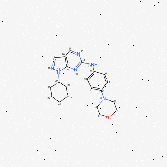 c1cc(N2CCOCC2)ccc1Nc1ncc2cnn(C3CCCCC3)c2n1